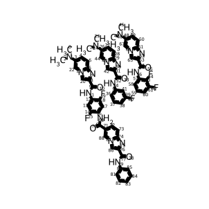 CN(C)c1ccc2nc(C(=O)Nc3cc(F)ccc3F)cn2c1.CN(C)c1ccc2nc(C(=O)Nc3cccc(F)c3)cn2c1.CN(C)c1ccc2nc(C(=O)Nc3cccc(F)c3F)cn2c1.NC(=O)c1ccc2nc(C(=O)Nc3ccccc3)cn2c1